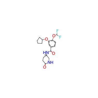 O=C1CC[C@H](NC(=O)c2ccc(OC(F)F)c(OC3CCCC3)c2)CN1